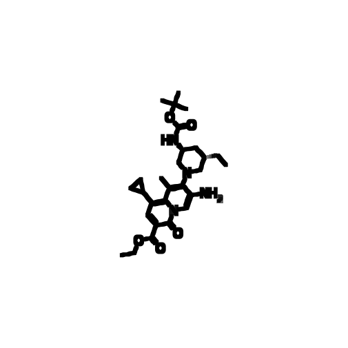 CCOC(=O)c1cc(C2CC2)c2c(C)c(N3C[C@@H](CC)C[C@H](NC(=O)OC(C)(C)C)C3)c(N)cn2c1=O